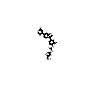 CCc1cc(-c2ccn3c(-c4ccc(NC(=O)Nc5cc(C(C)(C)C)on5)c(F)c4)cnc3c2)ccn1